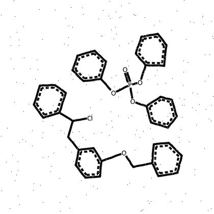 ClC(Cc1cccc(OCc2ccccc2)c1)c1ccccc1.O=P(Oc1ccccc1)(Oc1ccccc1)Oc1ccccc1